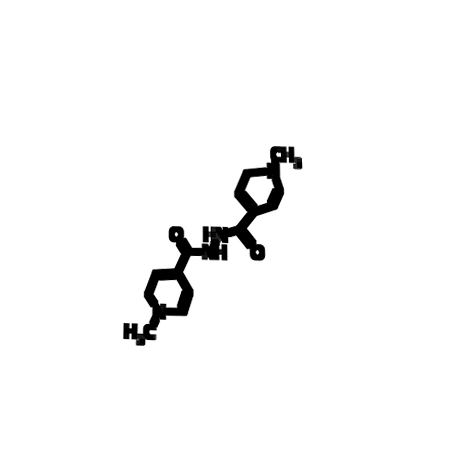 CN1C=CC(C(=O)NNC(=O)C2=CCN(C)C=C2)=CC1